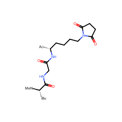 CCC(C)[C@H](NC)C(=O)NCC(=O)N[C@@H](CCCCN1C(=O)CCC1=O)C(C)=O